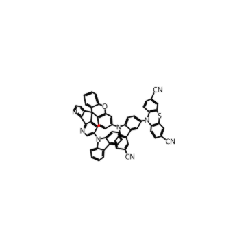 N#Cc1ccc2c(c1)Sc1cc(C#N)ccc1N2c1ccc2c(c1)c1cc(C#N)ccc1n2-c1ccc2c(c1)Oc1ccccc1C21c2cccnc2-c2ncc(-n3c4ccccc4c4ccccc43)cc21